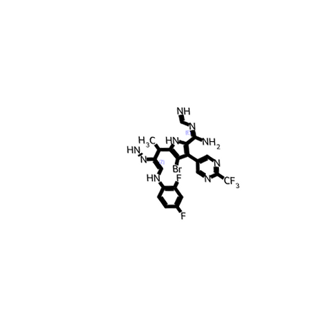 CC(/C(=C/Nc1ccc(F)cc1F)N=N)c1[nH]c(/C(N)=N\C=N)c(-c2cnc(C(F)(F)F)nc2)c1Br